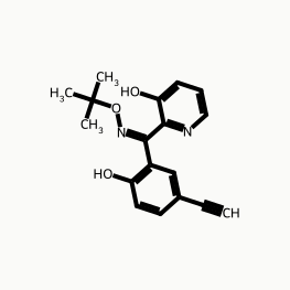 C#Cc1ccc(O)c(/C(=N/OC(C)(C)C)c2ncccc2O)c1